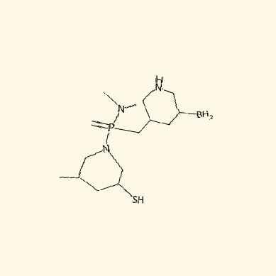 BC1CNCC(CP(=C)(N(C)C)N2CC(C)CC(S)C2)C1